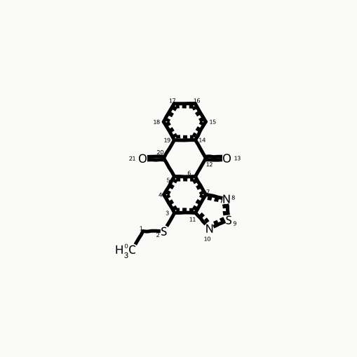 CCSc1cc2c(c3nsnc13)C(=O)c1ccccc1C2=O